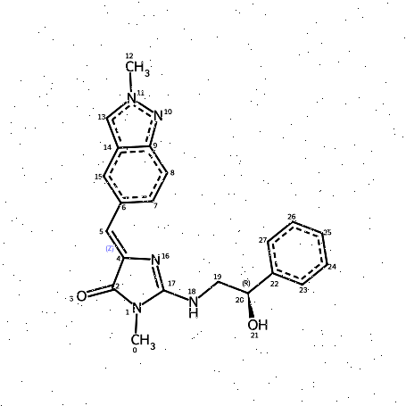 CN1C(=O)/C(=C/c2ccc3nn(C)cc3c2)N=C1NC[C@H](O)c1ccccc1